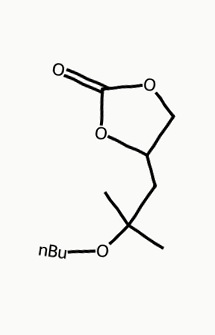 CCCCOC(C)(C)CC1COC(=O)O1